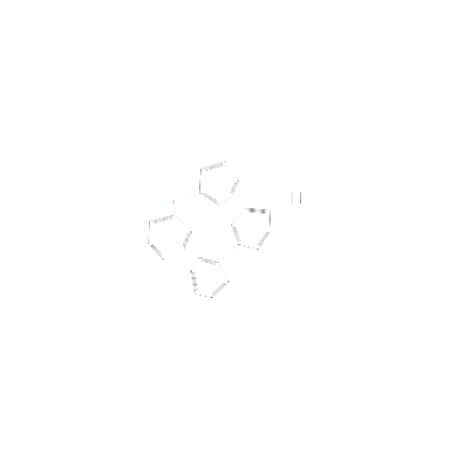 Cc1ccc(-c2ccccc2)cc1.c1ccc(Oc2ccccc2)cc1